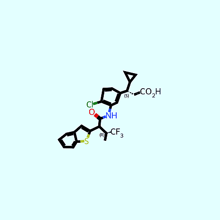 C[C@H](C(C(=O)Nc1cc([C@@H](CC(=O)O)C2CC2)ccc1Cl)c1cc2ccccc2s1)C(F)(F)F